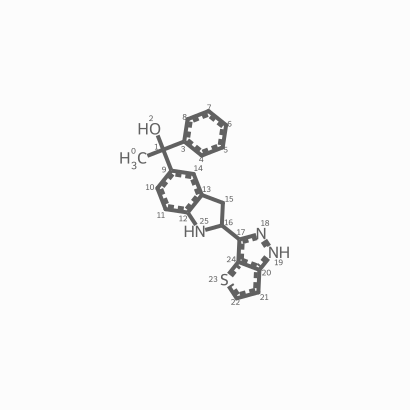 CC(O)(c1ccccc1)c1ccc2c(c1)CC(c1n[nH]c3ccsc13)N2